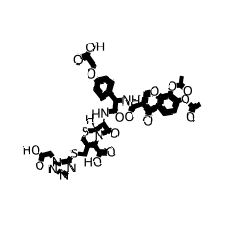 CC(=O)Oc1ccc2c(=O)c(C(=O)NC(C(=O)N[C@@H]3C(=O)N4C(C(=O)O)=C(CSc5nnnn5CC(=O)O)CS[C@@H]34)c3ccc(OCC(=O)O)cc3)coc2c1OC(C)=O